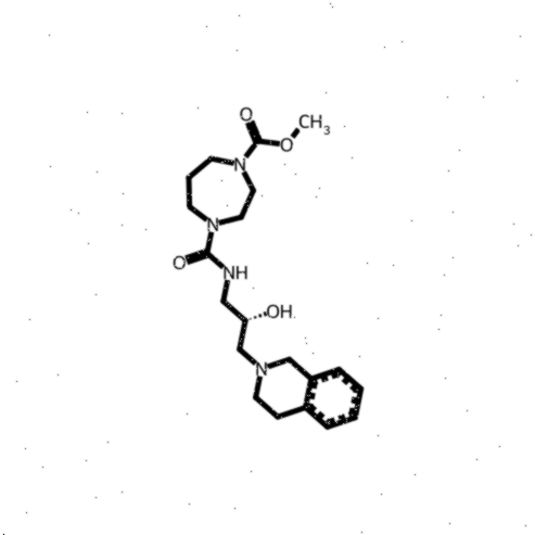 COC(=O)N1CCCN(C(=O)NC[C@H](O)CN2CCc3ccccc3C2)CC1